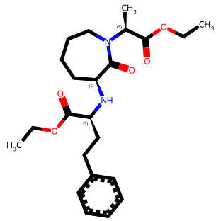 CCOC(=O)[C@H](CCc1ccccc1)N[C@H]1CCCCN([C@@H](C)C(=O)OCC)C1=O